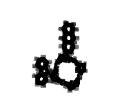 C1=Cc2cc3ccc(cc4nc(cc5ccc(cc1n2)[nH]5)C=C4)[nH]3.c1ccc2c(c1)[nH]c1ccccc12.c1ccc2cc3ccccc3cc2c1